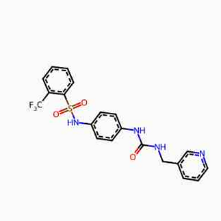 O=C(NCc1cccnc1)Nc1ccc(NS(=O)(=O)c2ccccc2C(F)(F)F)cc1